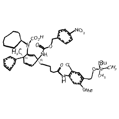 COc1cc(NC(=O)CCC[C@]2(NC(=O)OCc3ccc([N+](=O)[O-])cc3)C=C[C@@](C)(c3ccccc3)C(N(C(=O)O)C3CCCCC3)=C2)c(Cl)cc1CO[Si](C)(C)C(C)(C)C